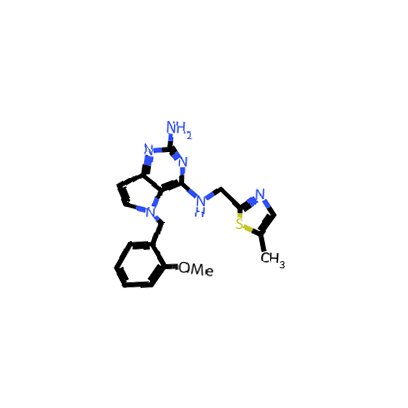 COc1ccccc1Cn1ccc2nc(N)nc(NCc3ncc(C)s3)c21